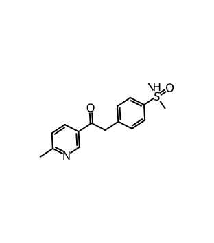 Cc1ccc(C(=O)Cc2ccc([SH](C)(C)=O)cc2)cn1